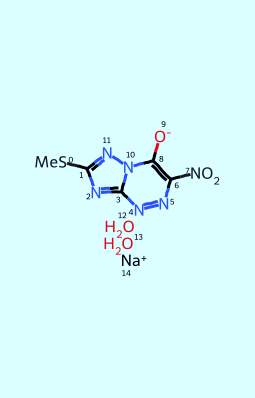 CSc1nc2nnc([N+](=O)[O-])c([O-])n2n1.O.O.[Na+]